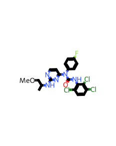 COCC(C)Nc1nccc(N(C(=O)Nc2c(Cl)ccc(Cl)c2Cl)c2ccc(F)cc2)n1